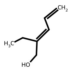 C=C/C=C(\CC)CO